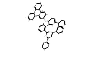 c1ccc(-c2ccc3c(c2)c2c(-c4nc(-c5ccccc5)cc(-c5ccccc5)n4)cccc2n3-c2ccc3c4ccccc4c4ccccc4c3c2)cc1